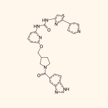 O=C(Nc1cccc(OCC2CCN(C(=O)c3ccc4[nH]cnc4c3)C2)n1)Nc1csc(-c2ccncc2)n1